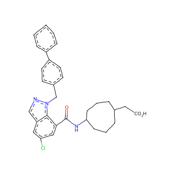 O=C(O)CC1CCCC(NC(=O)c2cc(Cl)cc3cnn(Cc4ccc(-c5ccccc5)cc4)c23)CCC1